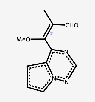 CO/C(=C(\C)C=O)c1ncnn2cccc12